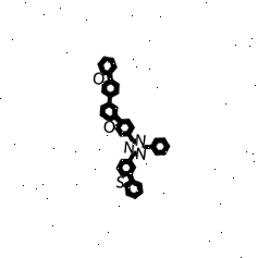 c1ccc(-c2nc(-c3ccc4c(c3)oc3ccc(-c5ccc6c(c5)oc5ccccc56)cc34)nc(-c3ccc4sc5ccccc5c4c3)n2)cc1